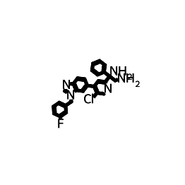 NCC(N)(c1ccccc1)c1cc(-c2ccc3ncn(Cc4cccc(F)c4)c3c2)c(Cl)cn1